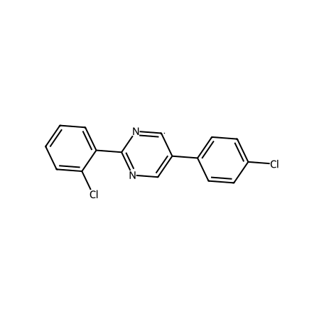 Clc1ccc(-c2[c]nc(-c3ccccc3Cl)nc2)cc1